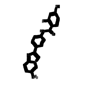 Cc1ccc2nc(-c3ccc(NC(=O)c4ccc(O)cc4F)cc3)cn2c1